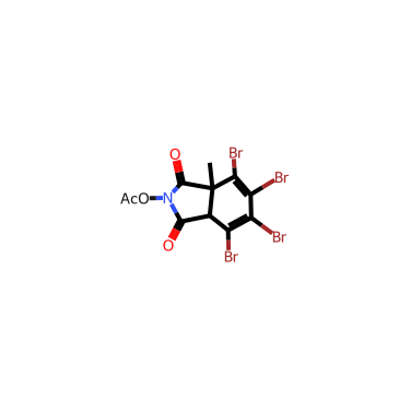 CC(=O)ON1C(=O)C2C(Br)=C(Br)C(Br)=C(Br)C2(C)C1=O